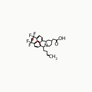 C=CCCC(c1ccc(C(F)(F)F)cc1)N1CCC(CC(=O)O)CC1c1ccc(C(F)(F)F)cc1